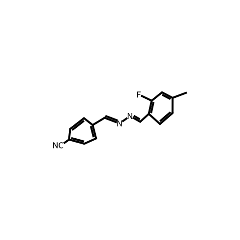 Cc1ccc(C=NN=Cc2ccc(C#N)cc2)c(F)c1